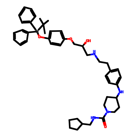 CC(C)(C)[Si](Oc1ccc(OC[C@@H](O)CNCCc2ccc(NC3CCN(C(=O)NCC4CCCC4)CC3)cc2)cc1)(c1ccccc1)c1ccccc1